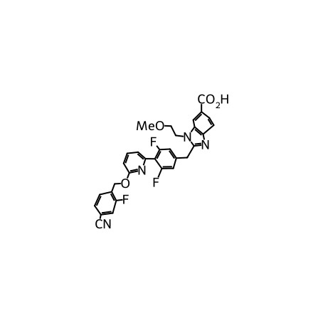 COCCn1c(Cc2cc(F)c(-c3cccc(OCc4ccc(C#N)cc4F)n3)c(F)c2)nc2ccc(C(=O)O)cc21